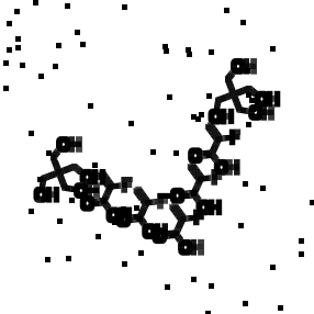 C=C(F)C(=O)O.C=C(F)C(=O)O.C=C(F)C(=O)O.C=C(F)C(=O)O.C=C(F)C(=O)O.OCC(CO)(CO)CO.OCC(CO)(CO)CO